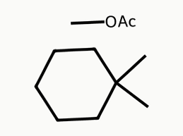 CC1(C)CCCCC1.COC(C)=O